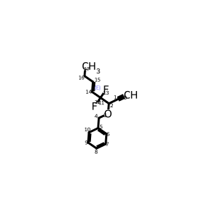 C#CC(OCc1ccccc1)C(F)(F)/C=C/CC